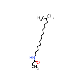 C=CC(=O)NCCCCCCCCCCCCCC(C)C